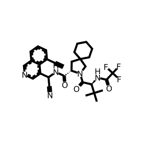 C#Cc1cccc2cncc(C(C#N)NC(=O)[C@@H]3CC4(CCCCC4)CN3C(=O)[C@@H](NC(=O)C(F)(F)F)C(C)(C)C)c12